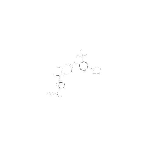 C[C@H]1CN(Cc2ccc(N3CCCC3)cc2C(F)(F)F)CCN1C(=O)n1ccc(C(=O)O)n1